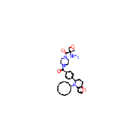 NC1(C(=O)N2CCN(C(=O)c3ccc(C4CCc5occc5N4C4CCCCCCCCC4)cc3)CC2)COC1